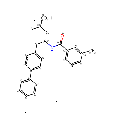 C[C@H](C[C@@H](Cc1ccc(-c2ccccc2)cc1)NC(=O)c1cccc(C(F)(F)F)c1)C(=O)O